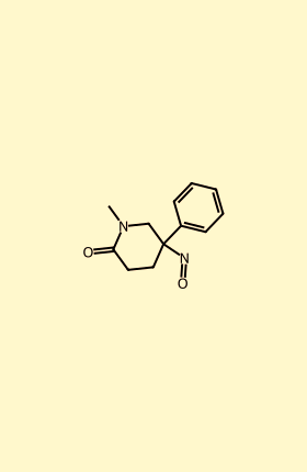 CN1CC(N=O)(c2ccccc2)CCC1=O